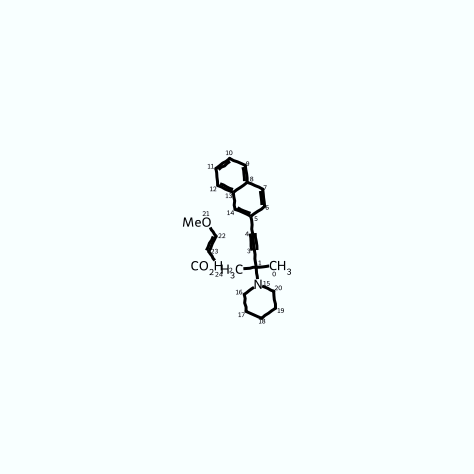 CC(C)(C#Cc1ccc2ccccc2c1)N1CCCCC1.COC=CC(=O)O